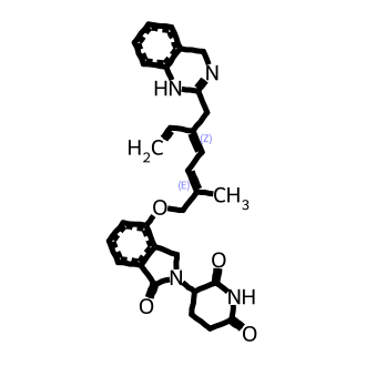 C=C/C(=C\C=C(/C)COc1cccc2c1CN(C1CCC(=O)NC1=O)C2=O)CC1=NCc2ccccc2N1